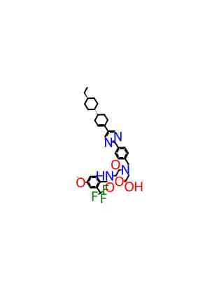 CC[C@H]1CC[C@H](C2CC=C(c3cnc(-c4ccc(CN(CC(=O)O)C(=O)CNC(=O)c5ccc(OC)cc5C(F)(F)F)cc4)nc3)CC2)CC1